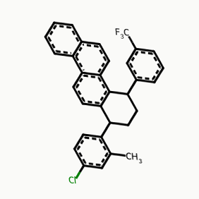 Cc1cc(Cl)ccc1C1CCC(c2cccc(C(F)(F)F)c2)c2c1ccc1c2ccc2ccccc21